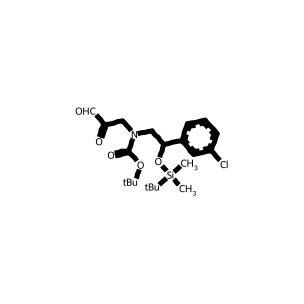 CC(C)(C)OC(=O)N(CC(=O)C=O)CC(O[Si](C)(C)C(C)(C)C)c1cccc(Cl)c1